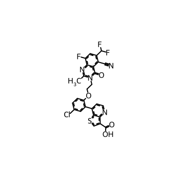 Cc1nc2c(F)cc(C(F)F)c(C#N)c2c(=O)n1CCOc1ccc(Cl)cc1-c1ccnc2c(C(=O)O)csc12